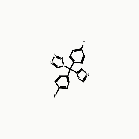 Fc1ccc(C(c2ccc(F)cc2)(c2cncs2)n2cnnn2)cc1